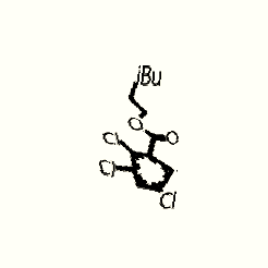 CCC(C)CCOC(=O)c1[c]c(Cl)cc(Cl)c1Cl